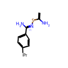 C=C(N)S/N=C(\N)c1ccc(C(C)C)cc1